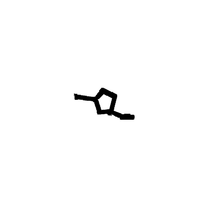 CO[C@@H]1CCN(I)C1